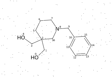 OCC1(CO)CCCN(Cc2ccccc2)C1